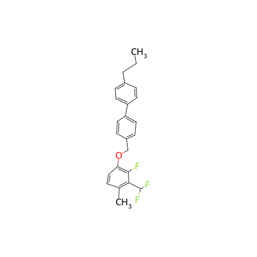 CCCc1ccc(-c2ccc(COc3ccc(C)c(C(F)F)c3F)cc2)cc1